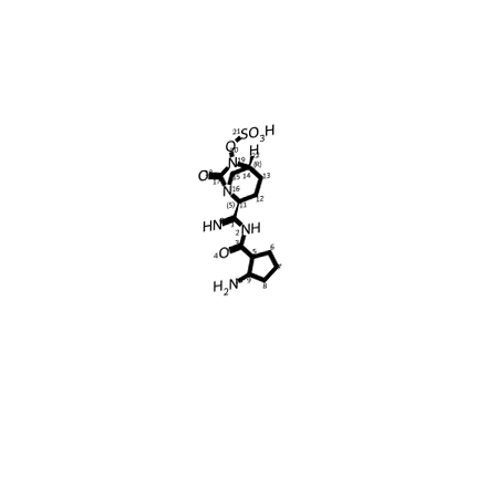 N=C(NC(=O)C1CCCC1N)[C@@H]1CC[C@@H]2CN1C(=O)N2OS(=O)(=O)O